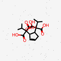 CC(C)C(C(=O)O)(C(=O)O)C1C=CCC1C(C(=O)O)(C(=O)O)C(C)C